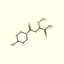 COC(CC(=O)N1CCC(O)CC1)C(N)=O